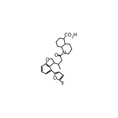 CC(CC(=O)N1CCCC2C(C(=O)O)CCCC21)C1COc2cccc(-c3ccc(F)o3)c21